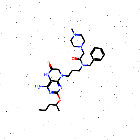 CCCC(C)Oc1nc(N)c2c(n1)N(CCCN(Cc1ccccc1)C(=O)CN1CCN(C)CC1)CC(=O)N2